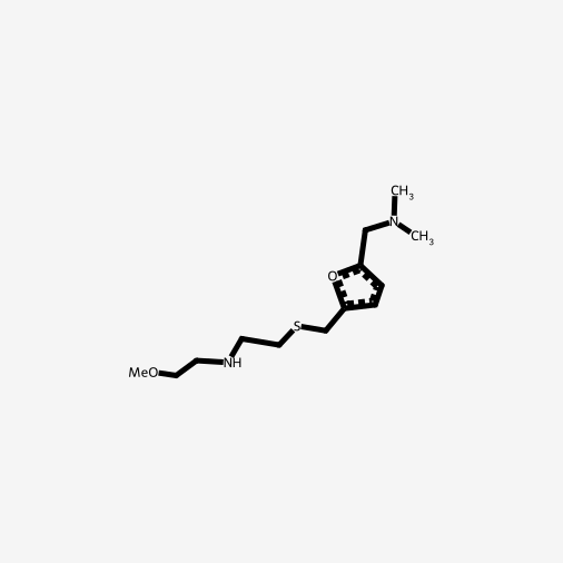 COCCNCCSCc1ccc(CN(C)C)o1